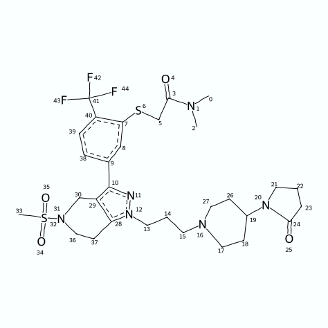 CN(C)C(=O)CSc1cc(-c2nn(CCCN3CCC(N4CCCC4=O)CC3)c3c2CN(S(C)(=O)=O)CC3)ccc1C(F)(F)F